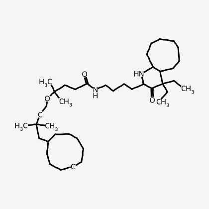 CCC1(CC)C(=O)C(CCCCNC(=O)CCC(C)(C)OCCC(C)(C)CC2CCCCCCCCC2)NC2CCCCCCCC21